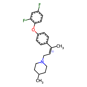 C/C(=C/CN1CCC(C)CC1)c1ccc(Oc2ccc(F)cc2F)cc1